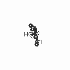 COc1ccccc1CN1CCN(C(=O)[C@H](NC(=O)O)C2CCN(CCc3ccccc3Cl)CC2)CC1